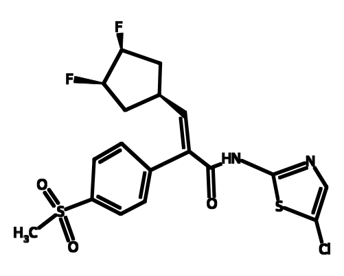 CS(=O)(=O)c1ccc(/C(=C\[C@H]2C[C@@H](F)[C@@H](F)C2)C(=O)Nc2ncc(Cl)s2)cc1